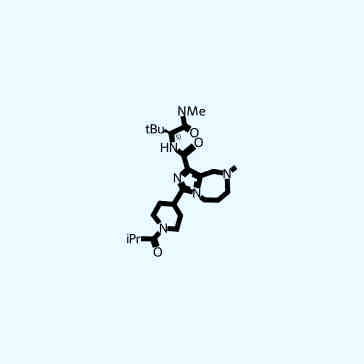 CNC(=O)[C@@H](NC(=O)c1nc(C2CCN(C(=O)C(C)C)CC2)n2c1CN(C)CCC2)C(C)(C)C